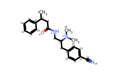 CC(CC(=O)NCC(Cc1ccc(C#N)cc1)N(C)C)c1ccccc1